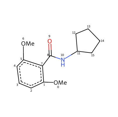 COc1cccc(OC)c1C(=O)NC1CCCC1